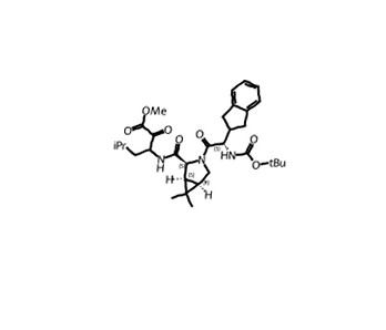 COC(=O)C(=O)C(CC(C)C)NC(=O)[C@@H]1[C@H]2[C@@H](CN1C(=O)[C@@H](NC(=O)OC(C)(C)C)C1Cc3ccccc3C1)C2(C)C